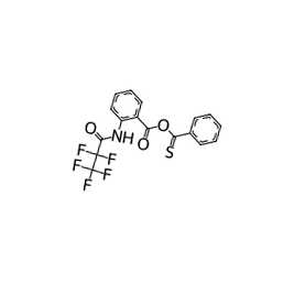 O=C(OC(=S)c1ccccc1)c1ccccc1NC(=O)C(F)(F)C(F)(F)F